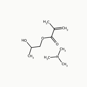 C=C(C)C(=O)OCC(C)O.CN(C)C